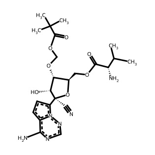 CC(C)[C@H](N)C(=O)OC[C@H]1O[C@@](C#N)(c2ccc3c(N)ncnn23)[C@H](O)[C@@H]1OCOC(=O)C(C)(C)C